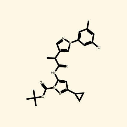 Cc1cc(Cl)cc(-n2cc(C(C)C(=O)Nc3cc(C4CC4)nn3C(=O)OC(C)(C)C)cn2)c1